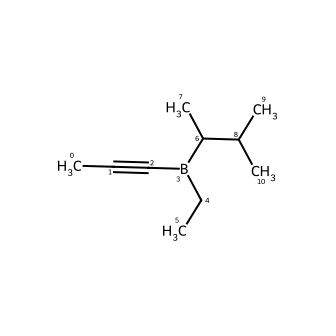 CC#CB(CC)C(C)C(C)C